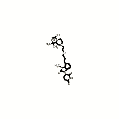 Cn1c(=O)n(C2CCC(=O)NC2=O)c2cccc(CCCOCCN3CCN(C(=O)O)C(C(C)(C)C)C3)c21